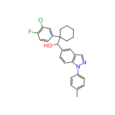 Cc1ccc(-n2ncc3cc(C(O)C4(c5ccc(F)c(Cl)c5)CCCCC4)ccc32)cc1